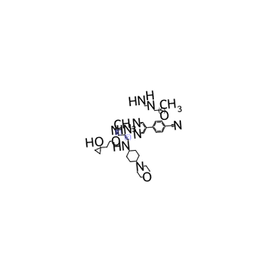 C/N=C(OCCC1(O)CC1)\C(=C/NC1CCC(N2CCOCC2)CC1)Nc1ncc(-c2ccc(C#N)c(O[C@@H](C)CNC=N)c2)cn1